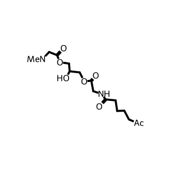 CNCC(=O)OCC(O)COC(=O)CNC(=O)CCCCC(C)=O